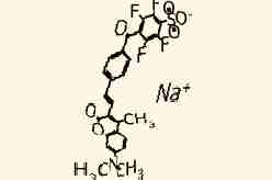 Cc1c(/C=C/c2ccc(C(=O)c3c(F)c(F)c(S(=O)(=O)[O-])c(F)c3F)cc2)c(=O)oc2cc(N(C)C)ccc12.[Na+]